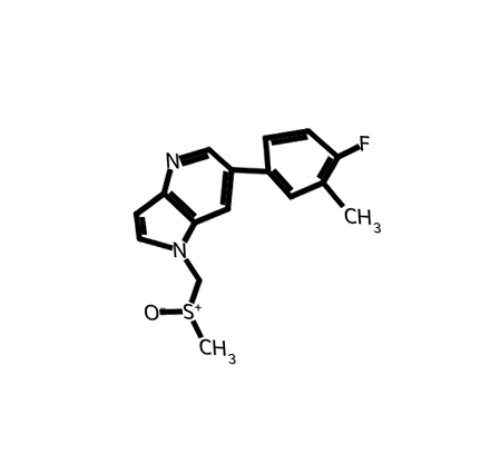 Cc1cc(-c2cnc3ccn(C[S+](C)[O-])c3c2)ccc1F